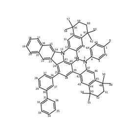 Cc1ccc(N2B3c4cc5c(cc4-n4c6cc7ccccc7cc6c6c(-c7cccc(-c8ccccc8)c7)cc(c3c64)-c3cc4c(cc32)C(C)(C)CCC4(C)C)C(C)(C)CCC5(C)C)cc1